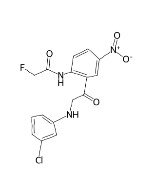 O=C(CF)Nc1ccc([N+](=O)[O-])cc1C(=O)CNc1cccc(Cl)c1